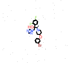 C[C@@H](N1CCC(Oc2cccc(Br)c2)CC1)[C@](O)(Cn1cncn1)c1ccc(F)cc1F